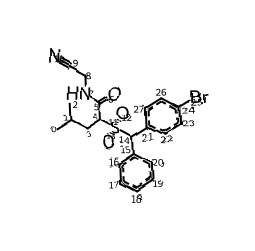 CC(C)CC(C(=O)NCC#N)S(=O)(=O)C(c1ccccc1)c1ccc(Br)cc1